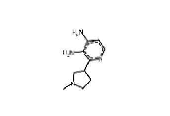 CN1CCC(c2nccc(N)c2[N+](=O)[O-])C1